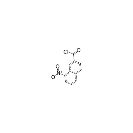 O=C(Cl)c1ccc2cccc([N+](=O)[O-])c2c1